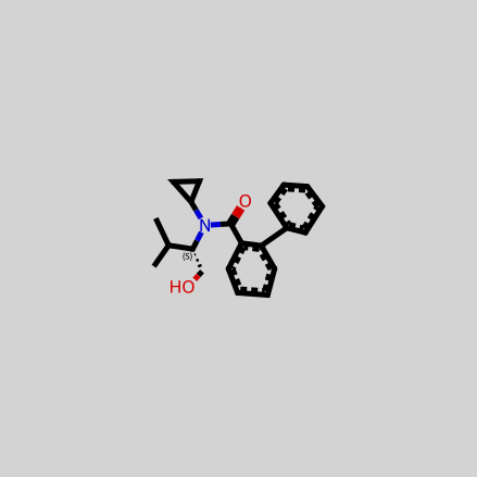 CC(C)[C@@H](CO)N(C(=O)c1ccccc1-c1ccccc1)C1CC1